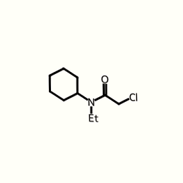 CCN(C(=O)CCl)C1CCCCC1